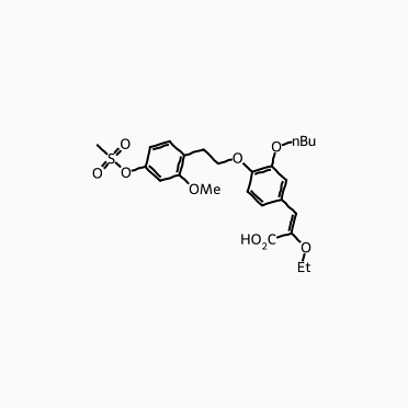 CCCCOc1cc(/C=C(/OCC)C(=O)O)ccc1OCCc1ccc(OS(C)(=O)=O)cc1OC